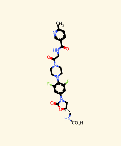 Cc1ccc(C(=O)NCC(=O)N2CCN(c3c(F)cc(N4C[C@H](CNC(=O)O)OC4=O)cc3F)CC2)cn1